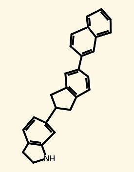 c1ccc2cc(-c3ccc4c(c3)CC(c3ccc5c(c3)NCC5)C4)ccc2c1